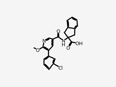 COc1ncc(C(=O)NC2(C(=O)O)Cc3ccccc3C2)cc1-c1cccc(Cl)c1